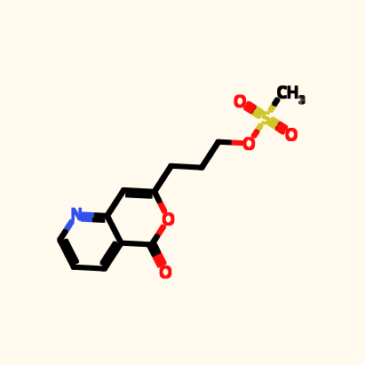 CS(=O)(=O)OCCCc1cc2ncccc2c(=O)o1